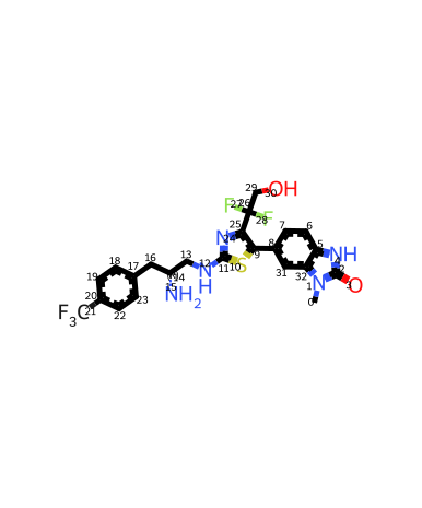 Cn1c(=O)[nH]c2ccc(-c3sc(NC[C@H](N)Cc4ccc(C(F)(F)F)cc4)nc3C(F)(F)CO)cc21